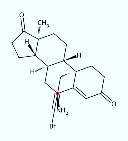 C[C@]12CC[C@H]3[C@@H](C[C@H](N)C4=CC(=O)CC[C@@]43CC#CBr)[C@@H]1CCC2=O